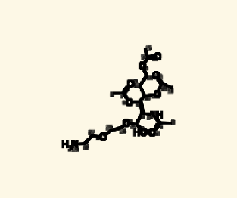 CC(=O)N/C(=C(/OC(C)=O)C(CCOC(C)=O)OC(C)=O)C(O)OCCOCCN